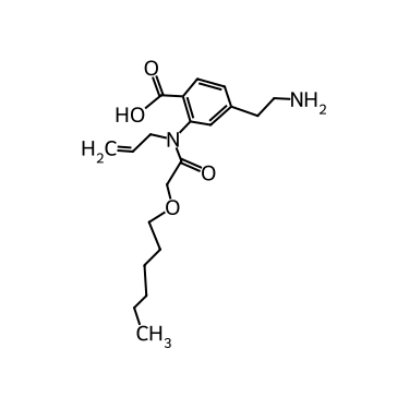 C=CCN(C(=O)COCCCCCC)c1cc(CCN)ccc1C(=O)O